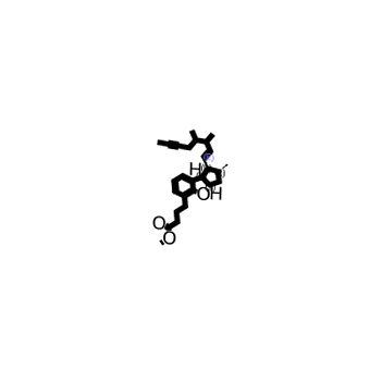 CC#CCC(C)C(C)/C=C/[C@@H]1[C@H]2c3cccc(CCCC(=O)OC)c3O[C@H]2C[C@H]1C